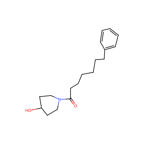 O=C(CCCCCCc1ccccc1)N1CCC(O)CC1